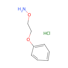 Cl.NOCCOc1ccccc1